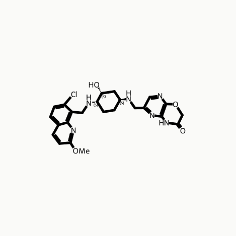 COc1ccc2ccc(Cl)c(CN[C@H]3CC[C@H](NCc4cnc5c(n4)NC(=O)CO5)C[C@H]3O)c2n1